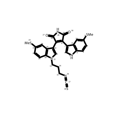 CSc1ccc2[nH]cc(C3=C(c4cn(CCCN=C=S)c5ccc(SC)cc45)C(=O)NC3=O)c2c1